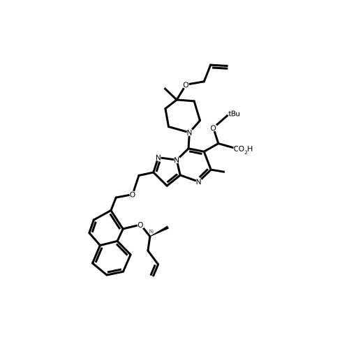 C=CCOC1(C)CCN(c2c(C(OC(C)(C)C)C(=O)O)c(C)nc3cc(COCc4ccc5ccccc5c4O[C@@H](C)CC=C)nn23)CC1